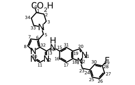 O=C(O)C1CCN(Cc2ccn3ncnc(Nc4ccc5c(cnn5Cc5cccc(F)c5)c4)c23)CC1